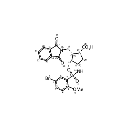 COc1ccc(Br)cc1S(=O)(=O)N[C@@H]1C[C@H](CN2C(=O)c3ccccc3C2=O)N(C(=O)O)C1